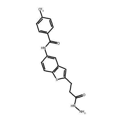 NNC(=O)CCc1cc2cc(NC(=O)c3ccc(C(F)(F)F)cc3)ccc2s1